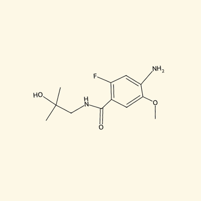 COc1cc(C(=O)NCC(C)(C)O)c(F)cc1N